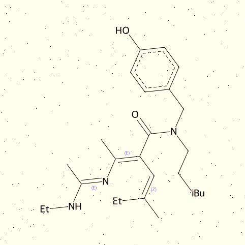 CCN/C(C)=N/C(C)=C(\C=C(\C)CC)C(=O)N(CCC(C)CC)Cc1ccc(O)cc1